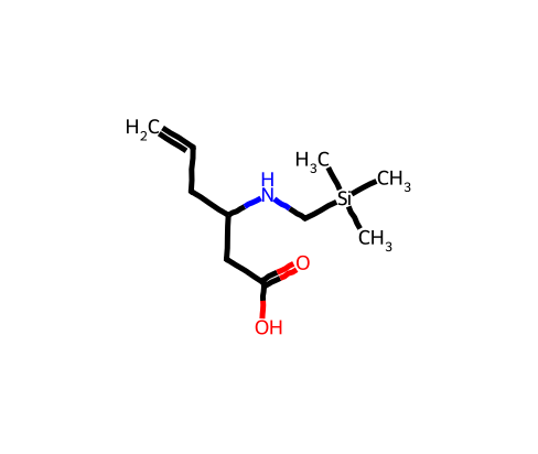 C=CCC(CC(=O)O)NC[Si](C)(C)C